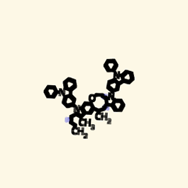 C=C/C=C\c1c(C)c2cc3c(cc2n1-c1ccc2c(c1)c1ccccc1n2-c1ccccc1)OC/C=c1\c(c2ccccc2n1-c1ccc2c(c1)c1ccccc1n2-c1ccccc1)=C/C3=C